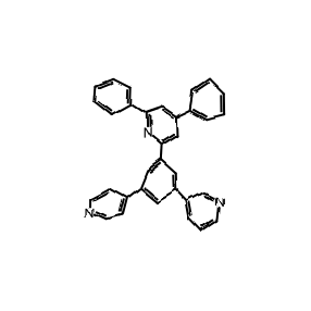 c1ccc(-c2cc(-c3ccccc3)nc(-c3cc(-c4ccncc4)cc(-c4cccnc4)c3)c2)cc1